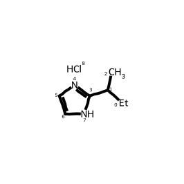 CCC(C)c1ncc[nH]1.Cl